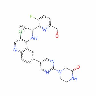 CC(Nc1c(Cl)cnc2ccc(-c3cnc(N4CCNC(=O)C4)nc3)cc12)c1nc(C=O)ccc1F